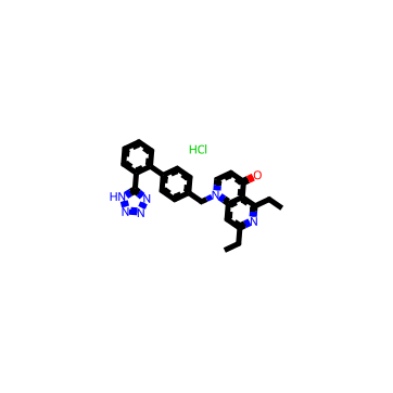 CCc1cc2c(c(CC)n1)c(=O)ccn2Cc1ccc(-c2ccccc2-c2nnn[nH]2)cc1.Cl